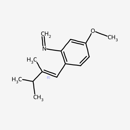 C=Nc1cc(OC)ccc1/C=C(\C)C(C)C